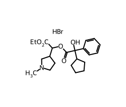 Br.CCOC(=O)C(OC(=O)C(O)(c1ccccc1)C1CCCC1)C1CCN(C)C1